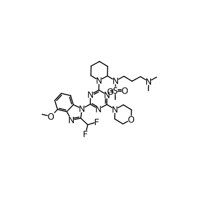 COc1cccc2c1nc(C(F)F)n2-c1nc(N2CCOCC2)nc(N2CCCCC2N(CCCN(C)C)S(C)(=O)=O)n1